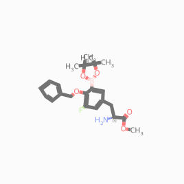 COC(=O)[C@@H](N)Cc1cc(F)c(OCc2ccccc2)c(B2OC(C)(C)C(C)(C)O2)c1